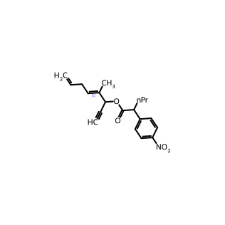 C#CC(OC(=O)C(CCC)c1ccc([N+](=O)[O-])cc1)/C(C)=C/CC=C